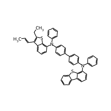 CC=Cc1c(CC)sc2c(N(c3ccccc3)c3ccc(-c4ccc(N(c5ccccc5)c5cccc6c5sc5ccccc56)cc4)cc3)cccc12